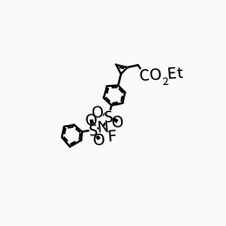 CCOC(=O)CC1=CC1c1ccc(S(=O)(=O)N(F)S(=O)(=O)c2ccccc2)cc1